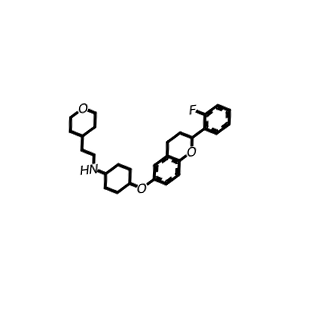 Fc1ccccc1C1CCc2cc(OC3CCC(NCCC4CCOCC4)CC3)ccc2O1